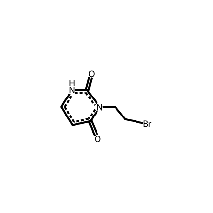 O=c1cc[nH]c(=O)n1CCBr